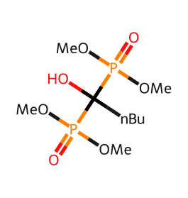 CCCCC(O)(P(=O)(OC)OC)P(=O)(OC)OC